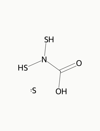 O=C(O)N(S)S.[S]